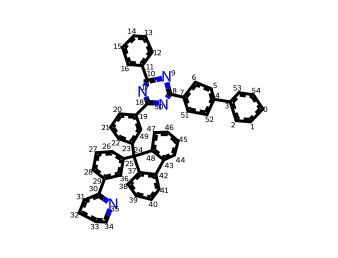 c1ccc(-c2ccc(-c3nc(-c4ccccc4)nc(-c4cccc(C5(c6cccc(-c7ccccn7)c6)c6ccccc6-c6ccccc65)c4)n3)cc2)cc1